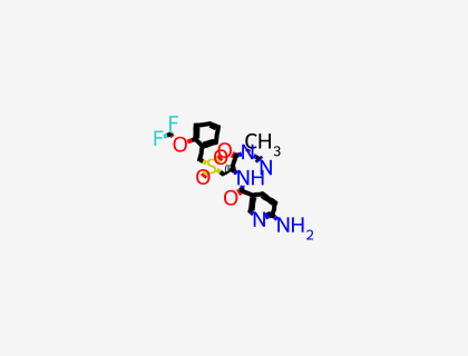 CN(C#N)C(=O)[C@H](CS(=O)(=O)Cc1ccccc1OC(F)F)NC(=O)c1ccc(N)nc1